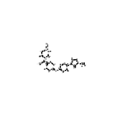 CC1CN=C(c2ccc(C=C3CCN(C(=O)c4ccc(Cl)cc4)CC3)cc2)O1